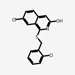 Oc1cc2ccc(Cl)cc2c(SCc2ccccc2Cl)n1